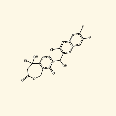 CCC1(O)CC(=O)OCc2c1ccn(C(O)c1cc3cc(F)c(F)cc3nc1Cl)c2=O